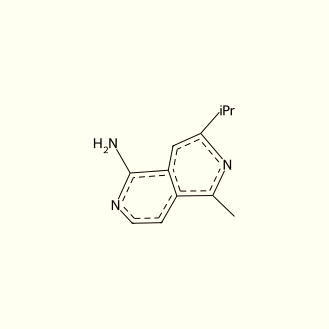 Cc1nc(C(C)C)cc2c(N)nccc12